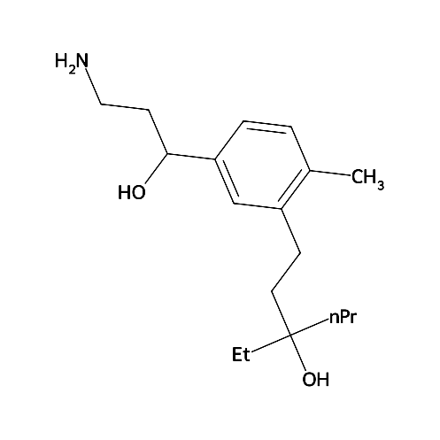 CCCC(O)(CC)CCc1cc(C(O)CCN)ccc1C